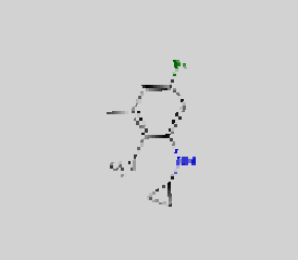 Cc1cc(Br)cc(NC2CC2)c1[N+](=O)[O-]